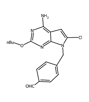 CCCCOc1nc(N)c2cc(Cl)n(Cc3ccc(C=O)cc3)c2n1